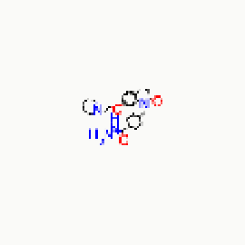 NNC(=O)c1ccc(CN2C(=O)CCc3ccc(OCCN4CCCCC4)cc32)cc1